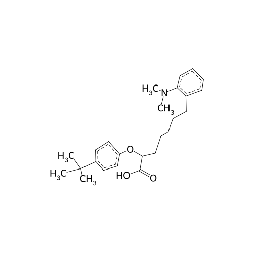 CN(C)c1ccccc1CCCCCC(Oc1ccc(C(C)(C)C)cc1)C(=O)O